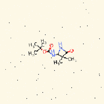 CC(C)(C)OC(=O)N[C@@H]1NC(=O)C1(C)C